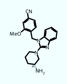 COc1cc(C#N)ccc1Cn1c(N2CCC[C@@H](N)C2)nc2ccccc21